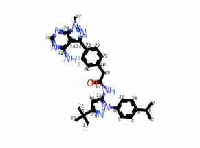 CC(C)c1ccc(-n2nc(C(C)(C)C)cc2NC(=O)Cc2ccc(-c3nn(C)c4ncnc(N)c34)cc2)cc1